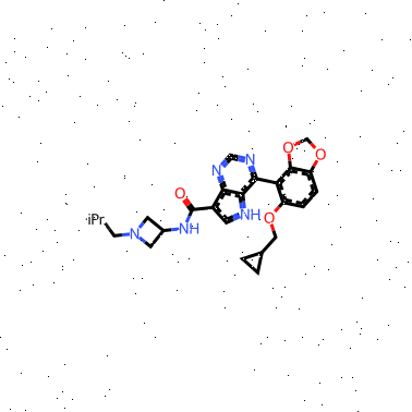 C[C](C)CN1CC(NC(=O)c2c[nH]c3c(-c4c(OCC5CC5)ccc5c4OCO5)ncnc23)C1